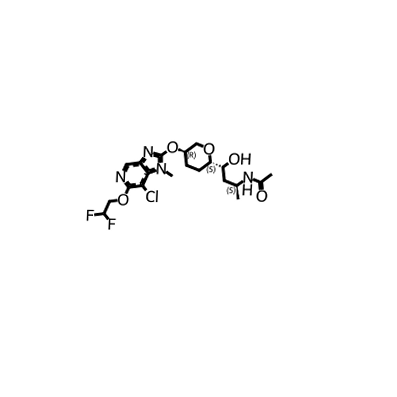 CC(=O)N[C@@H](C)CC(O)[C@@H]1CC[C@@H](Oc2nc3cnc(OCC(F)F)c(Cl)c3n2C)CO1